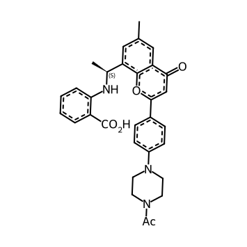 CC(=O)N1CCN(c2ccc(-c3cc(=O)c4cc(C)cc([C@H](C)Nc5ccccc5C(=O)O)c4o3)cc2)CC1